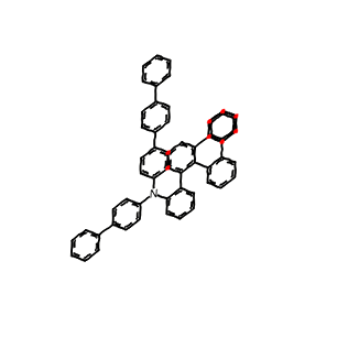 c1ccc(-c2ccc(-c3ccc(N(c4ccc(-c5ccccc5)cc4)c4ccccc4-c4cccc(-c5ccccc5)c4-c4ccccc4-c4ccccc4)cc3)cc2)cc1